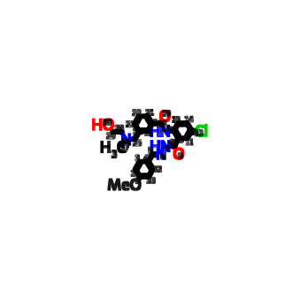 COc1ccc(/C=N/NC(=O)c2cc(Cl)ccc2NC(=O)c2cccc(CN(C)CCO)c2)cc1